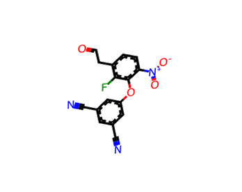 N#Cc1cc(C#N)cc(Oc2c([N+](=O)[O-])ccc(CC=O)c2F)c1